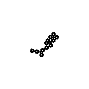 c1ccc(-c2ccc(-n3c4ccccc4c4cc(-c5ccc(-c6cccc(N(c7ccc8c(c7)C(c7ccccc7)(c7ccccc7)c7ccccc7-8)c7cccc8ccccc78)c6)cc5)ccc43)cc2)cc1